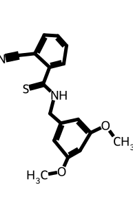 COc1cc(CNC(=S)c2ccccc2C#N)cc(OC)c1